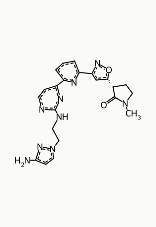 CN1CC[C@@H](c2cc(-c3cccc(-c4ccnc(NCCn5ccc(N)n5)n4)n3)no2)C1=O